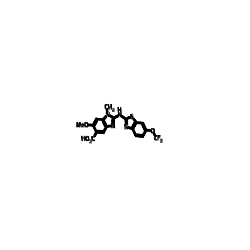 COc1cc2c(cc1C(=O)O)nc(Nc1nc3ccc(OC(F)(F)F)cc3s1)n2C